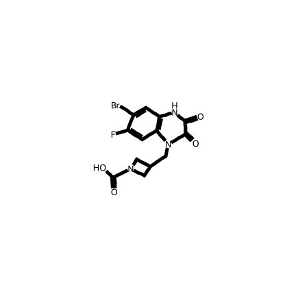 O=C(O)N1CC(Cn2c(=O)c(=O)[nH]c3cc(Br)c(F)cc32)C1